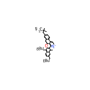 Cc1c2c(c(CC(C)(C)C)c3ccc(CC(C)(C)C)cc13)Oc1cc3cc(CC(C)(C)C(F)(F)F)ccc3c3cc[n+](C)c-2c13